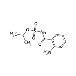 CC(C)OS(=O)(=O)NC(=O)c1ccccc1N